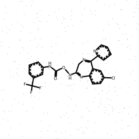 O=C(Nc1cccc(C(F)(F)F)c1)ONC1=Nc2ccc(Cl)cc2C(c2ccccn2)=NC1